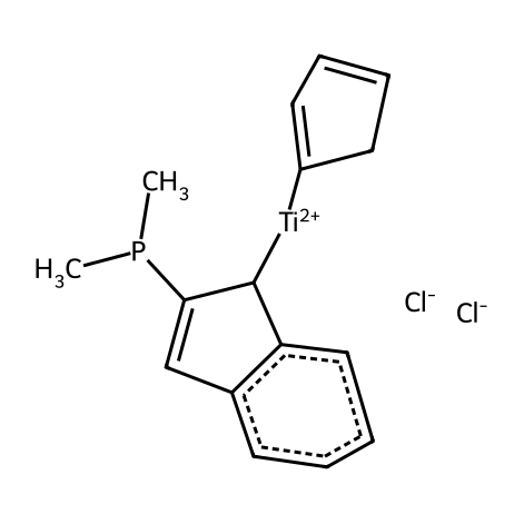 CP(C)C1=Cc2ccccc2[CH]1[Ti+2][C]1=CC=CC1.[Cl-].[Cl-]